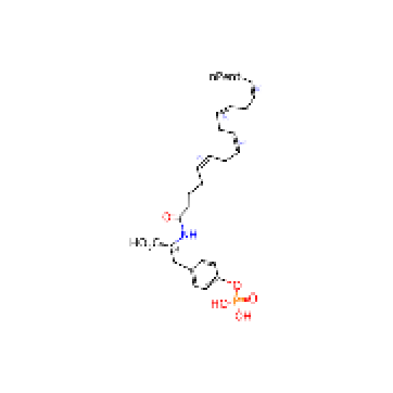 CCCCC/C=C\C/C=C\C/C=C\C/C=C\CCCC(=O)N[C@@H](Cc1ccc(OP(=O)(O)O)cc1)C(=O)O